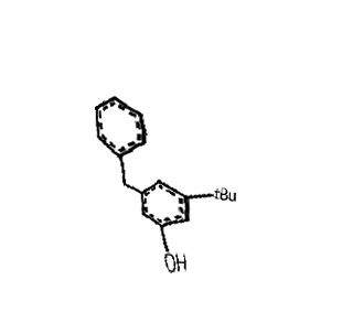 CC(C)(C)c1cc(O)cc(Cc2ccccc2)c1